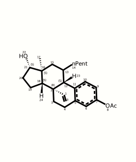 C=C[C@@]12CCc3cc(OC(C)=O)ccc3[C@H]1C(CCCCC)C[C@@]1(C)[C@H]2CC[C@@H]1O